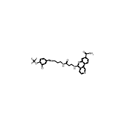 NC(=O)c1ccc2c(c1)nc(NCCC(=O)NCCCNCc1ccc(OC(F)(F)F)c(Cl)c1)c1ccncc12